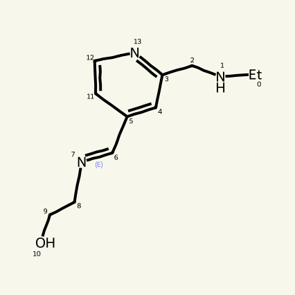 CCNCc1cc(/C=N/CCO)ccn1